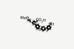 CCOc1ccc(F)c(N2CCC(Oc3ccc(N4C[C@H](CCCOC)C[C@@H]4CC(=O)O)cc3)CC2)c1